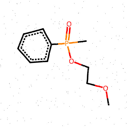 COCCOP(C)(=O)c1ccccc1